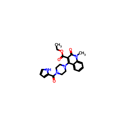 CCOC(=O)c1c(N2CCN(C(=O)c3ccc[nH]3)CC2)c2ccccc2n(C)c1=O